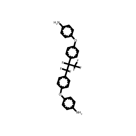 Nc1ccc(Oc2ccc(C(F)(F)C(F)(c3ccc(Oc4ccc(N)cc4)cc3)C(F)(F)F)cc2)cc1